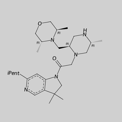 CCCC(C)c1cc2c(cn1)C(C)(C)CN2C(=O)CN1C[C@@H](C)NC[C@@H]1CN1[C@H](C)COC[C@H]1C